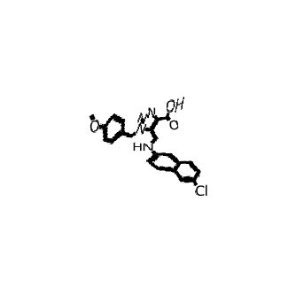 COc1ccc(Cn2nnc(C(=O)O)c2CNc2ccc3cc(Cl)ccc3c2)cc1